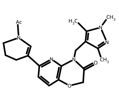 CC(=O)N1C=C(c2ccc3c(n2)N(Cc2c(C)nn(C)c2C)C(=O)CO3)CCC1